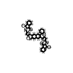 O=c1c(=Nc2cc3c(s2)C2=CC4C=C5C(=CC4C=C2CO3)c2sc(N=c3c(=O)c4ccccc4c3=O)cc2OC52CCCCC2)c(=O)c2ccccc12